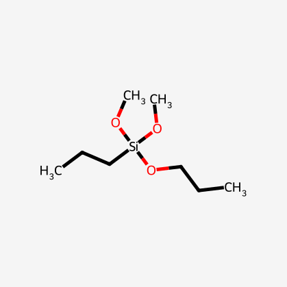 CCCO[Si](CCC)(OC)OC